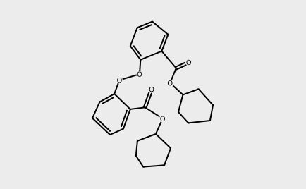 O=C(OC1CCCCC1)c1ccccc1OOc1ccccc1C(=O)OC1CCCCC1